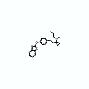 CCCN(C)C1(CCc2ccc(Oc3nc4ccccc4o3)cc2)CC1